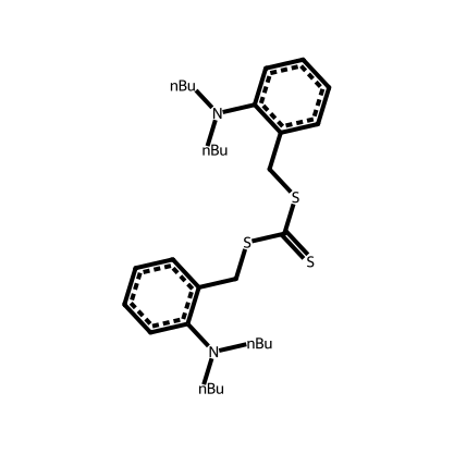 CCCCN(CCCC)c1ccccc1CSC(=S)SCc1ccccc1N(CCCC)CCCC